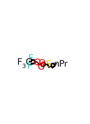 CCCc1ccc2cc(C3COC(COc4cc(F)c(C(F)(F)F)c(F)c4)OC3)sc2c1